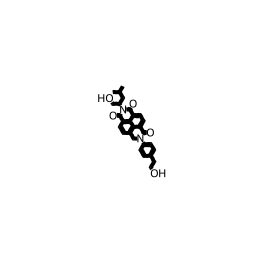 CC(C)CC(CO)N1C(=O)c2ccc3c4c(ccc(c24)C1=O)C(=O)N(c1ccc(CCO)cc1)C3